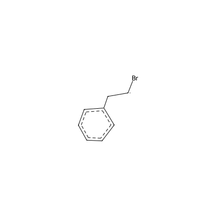 Br[CH]Cc1ccccc1